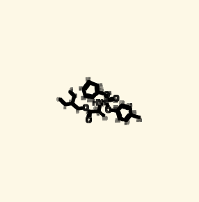 CCC(CC)COC(=O)[C@H](C)N[P@@](=O)(Oc1ccccc1)Oc1ccc(C)cc1